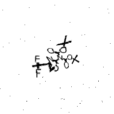 CC(C)(C)OC(=O)N(C(=O)OC(C)(C)C)c1nc(C(C)(F)F)cs1